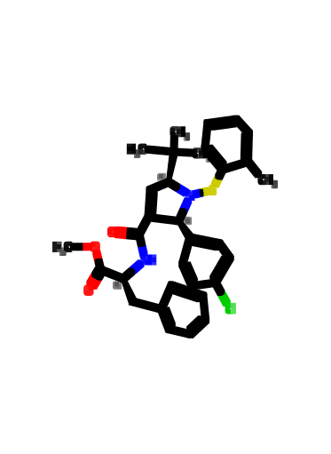 COC(=O)[C@H](Cc1ccccc1)NC(=O)C1=C[C@@H](C(C)(C)C)N(Sc2ccccc2C)[C@H]1c1ccc(Cl)cc1